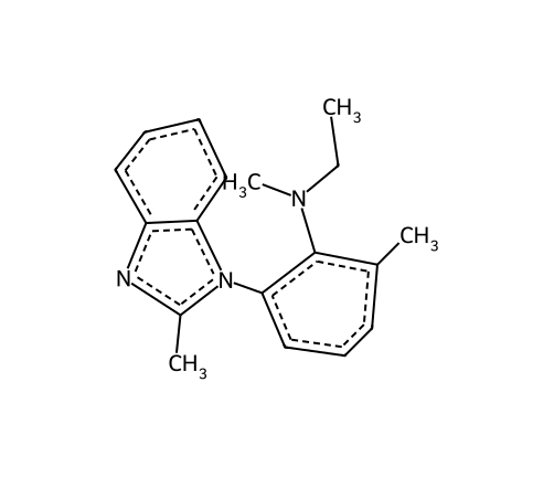 CCN(C)c1c(C)cccc1-n1c(C)nc2ccccc21